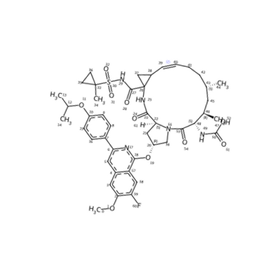 COc1cc2cc(-c3ccc(OC(C)C)cc3)nc(O[C@@H]3C[C@H]4C(=O)NC5(C(=O)NS(=O)(=O)C6(C)CC6)CC5/C=C\CC[C@H](C)C[C@@H](C)[C@H](NC(=O)O)C(=O)N4C3)c2cc1F